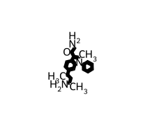 Cc1c(C(=O)CN)c2ccc(C(C)CC(C)N)cc2n1-c1ccccc1